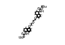 CC(C)(C)OC(=O)N[C@@H]1CCCc2c(OCCOCCOc3cccc4c3CCC[C@H]4NC(=O)OC(C)(C)C)cccc21